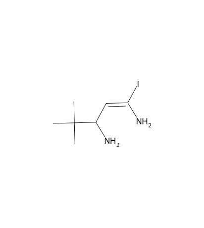 CC(C)(C)C(N)/C=C(\N)I